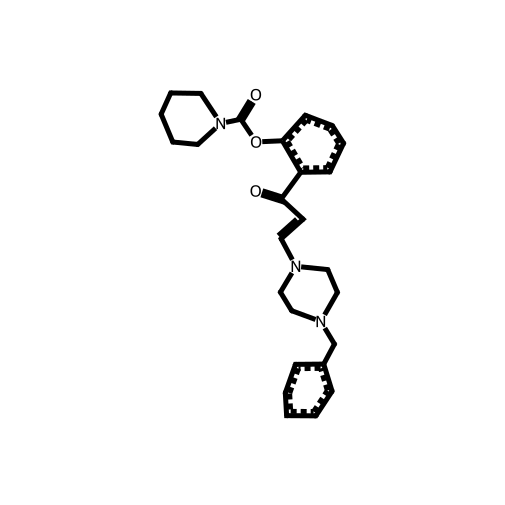 O=C(C=CN1CCN(Cc2ccccc2)CC1)c1ccccc1OC(=O)N1CCCCC1